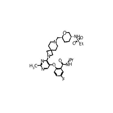 CCS(=O)(=O)N[C@@H]1CC[C@@H](CN2CCC3(CC2)CN(c2nc(C)ncc2Oc2ccc(F)cc2C(=O)NC(C)C)C3)OC1